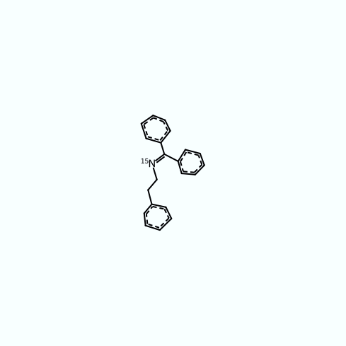 c1ccc(CC[15N]=C(c2ccccc2)c2ccccc2)cc1